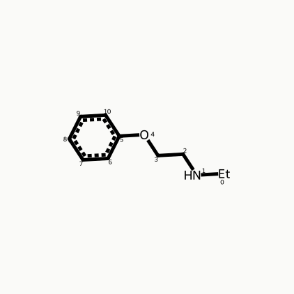 CCNCCOc1cc[c]cc1